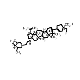 C=C(C)[C@@H]1CC[C@]2(NCCN3CC(C)S(=O)(=O)C(C)C3)CC[C@]3(C)C(CC[C@@H]4[C@@]5(C)CC=C(C6=CC[C@](CF)(C(=O)O)CC6)C(C)(C)[C@@H]5CC[C@]43C)[C@@H]12